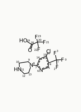 FC(F)(F)c1cnc(N2CCNCC2)cc1Cl.O=C(O)C(F)(F)F